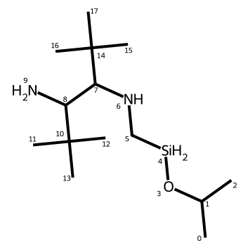 CC(C)O[SiH2]CNC(C(N)C(C)(C)C)C(C)(C)C